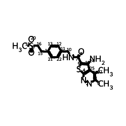 Cc1nnc2sc(C(=O)NCc3ccc(CCS(C)(=O)=O)cc3)c(N)c2c1C